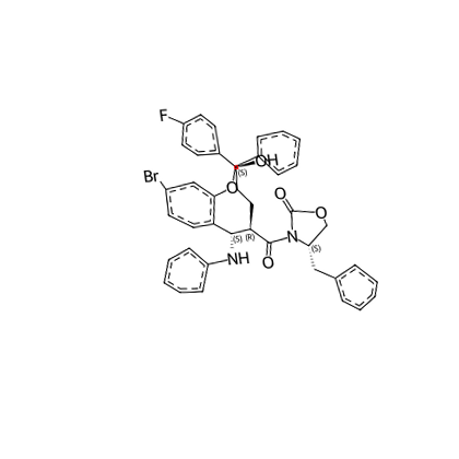 O=C1OC[C@H](Cc2ccccc2)N1C(=O)[C@H](CC[C@H](O)c1ccc(F)cc1)[C@H](Nc1ccccc1)c1ccc(Br)cc1OCc1ccccc1